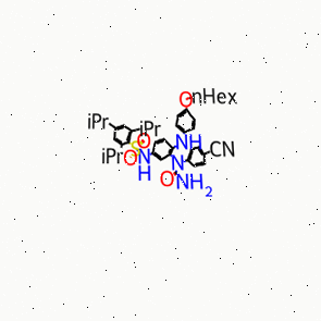 CCCCCCOc1ccc(Nc2ccc(NS(=O)(=O)c3c(C(C)C)cc(C(C)C)cc3C(C)C)cc2N(C(N)=O)c2ccc(C#N)cc2)cc1